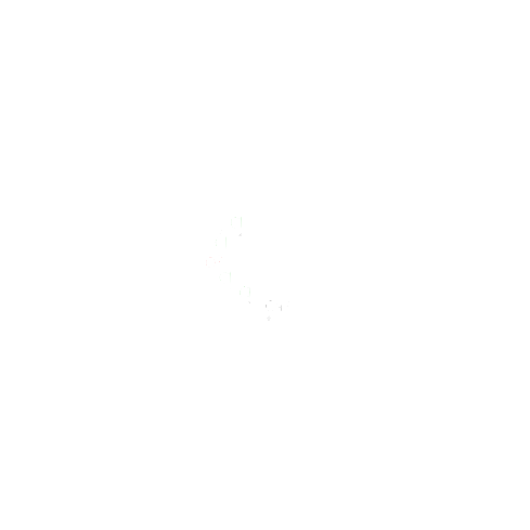 [Ca+2].[Cl-].[Cl-].[Cl-].[Cl-].[O+2]